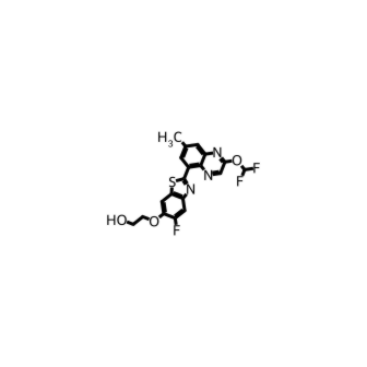 Cc1cc(-c2nc3cc(F)c(OCCO)cc3s2)c2ncc(OC(F)F)nc2c1